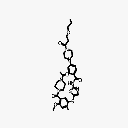 CCCOCCC(=O)N1CCN(c2ccc(C(=O)Nc3ncc(Sc4cc(C(=O)N5CCN(C(C)=O)CC5)c(OC)cc4C)s3)cc2)CC1